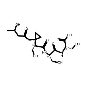 CC(O)CC(=O)CC1([C@@H](CO)C(=O)N[C@@H](CO)C(=O)N[C@@H](CO)C(=O)O)CC1